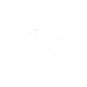 CCNC(=O)Nc1ncnc2c1ncn2C1CC(COCc2ccsc2C(=O)O)C2O[C@H](/C=C/c3ccccc3)OC21